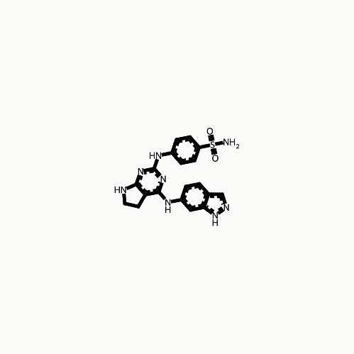 NS(=O)(=O)c1ccc(Nc2nc3c(c(Nc4ccc5cn[nH]c5c4)n2)CCN3)cc1